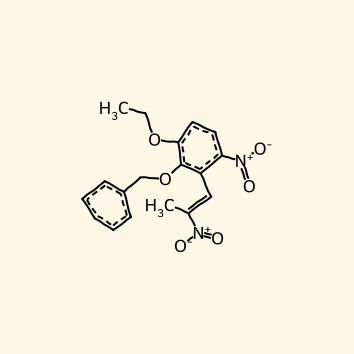 CCOc1ccc([N+](=O)[O-])c(C=C(C)[N+](=O)[O-])c1OCc1ccccc1